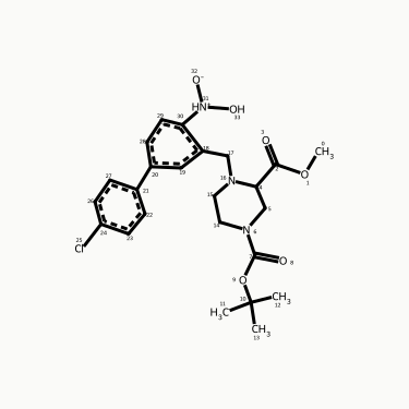 COC(=O)C1CN(C(=O)OC(C)(C)C)CCN1Cc1cc(-c2ccc(Cl)cc2)ccc1[NH+]([O-])O